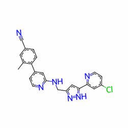 Cc1cc(C#N)ccc1-c1ccnc(NCc2cc(-c3cc(Cl)ccn3)[nH]n2)c1